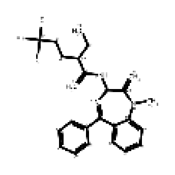 C=C(NC1N=C(c2ccccc2)c2ccccc2N(C)C1=C)C(CC)CCC(F)(F)F